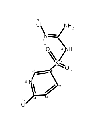 NC(=NCl)NS(=O)(=O)c1ccc(Cl)nc1